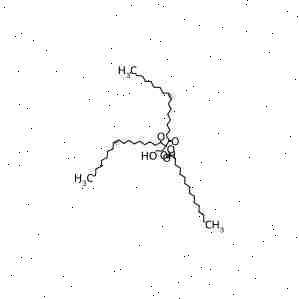 CCCCCCCC/C=C\CCCCCCCC(=O)C(OC(=O)CCCCCCCCCCCCCCC)(C(=O)CCCCCCC/C=C\CCCCCCCC)C(O)CO